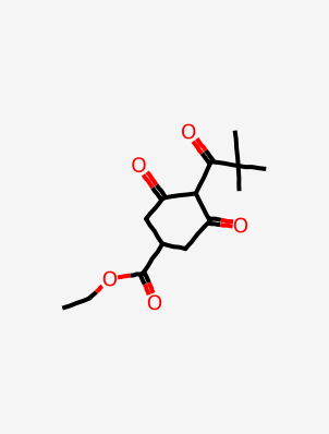 CCOC(=O)C1CC(=O)C(C(=O)C(C)(C)C)C(=O)C1